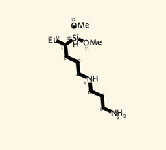 CCC(CCCNCCCN)[SiH](OC)OC